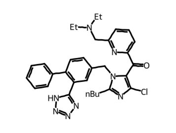 CCCCc1nc(Cl)c(C(=O)c2cccc(CN(CC)CC)n2)n1Cc1ccc(-c2ccccc2)c(-c2nnn[nH]2)c1